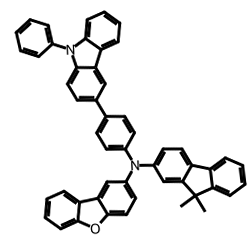 CC1(C)c2ccccc2-c2ccc(N(c3ccc(-c4ccc5c(c4)c4ccccc4n5-c4ccccc4)cc3)c3ccc4oc5ccccc5c4c3)cc21